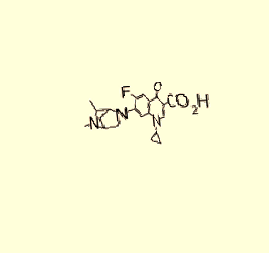 CC1C2CC(CN2c2cc3c(cc2F)c(=O)c(C(=O)O)cn3C2CC2)N1C